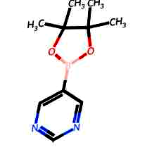 CC1(C)OB(c2cn[c]nc2)OC1(C)C